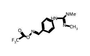 CN=C(NC)Nc1ccc(C=NOC(=O)C(F)(F)F)cc1